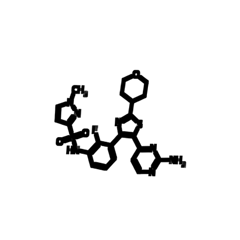 Cn1ccc(S(=O)(=O)Nc2cccc(-c3nc(C4CCOCC4)sc3-c3ccnc(N)n3)c2F)n1